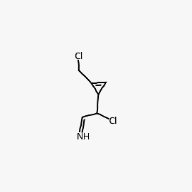 N=CC(Cl)C1C=C1CCl